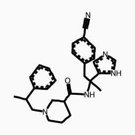 CC(CN1CCCC(C(=O)NC(C)(Cc2ccc(C#N)cc2)c2cnc[nH]2)C1)c1ccccc1